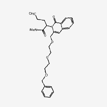 CNC(=O)C(CCC=O)n1c(COCCOCCOCc2ccccc2)cc2ccccc2c1=O